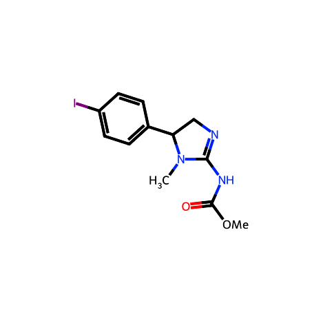 COC(=O)NC1=NCC(c2ccc(I)cc2)N1C